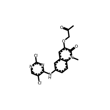 CC(=O)COc1cc2cc(Nc3nc(Cl)ncc3Cl)ccc2n(C)c1=O